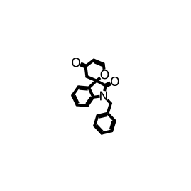 O=C1C=COC2(C1)C(=O)N(Cc1ccccc1)c1ccccc12